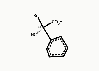 N#C[C@](Br)(C(=O)O)c1ccccc1